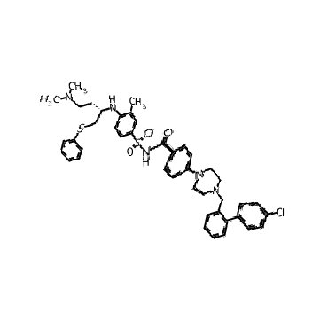 Cc1cc(S(=O)(=O)NC(=O)c2ccc(N3CCN(Cc4ccccc4-c4ccc(Cl)cc4)CC3)cc2)ccc1N[C@@H](CCN(C)C)CSc1ccccc1